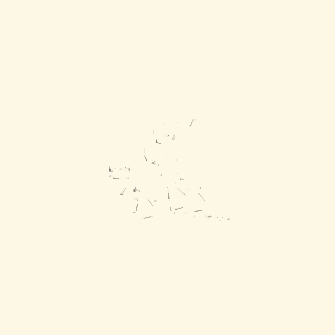 C=C[C@@H]1C[C@@]1(C)NC(=O)[C@@H]1C[C@@H](Oc2cc(-c3ccccc3)nc3cc(OC)ccc23)CN1C(=O)[C@H](CNC(=O)/C=C/C)NC